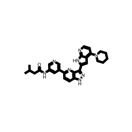 CC(C)CC(=O)Nc1cncc(-c2ccc3[nH]nc(-c4cc5c(N6CCCCC6)ccnc5[nH]4)c3n2)c1